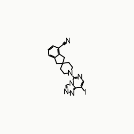 N#Cc1cccc2c1CC1(CCN(c3ncc(I)c4nncn34)CC1)C2